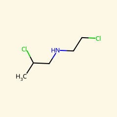 CC(Cl)CNCCCl